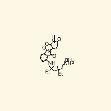 BNCCC(C)(CC)CC(C)(CC)CNc1cccc2c1C(=O)N(C1CCC(=O)NC1=O)C2=O